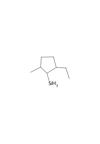 CCC1CCC(C)C1[SiH3]